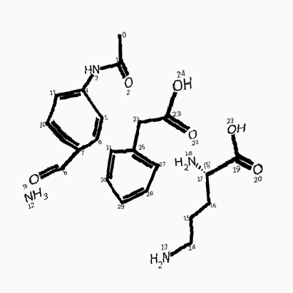 CC(=O)Nc1ccc(C=O)cc1.N.NCCC[C@H](N)C(=O)O.O=C(O)Cc1ccccc1